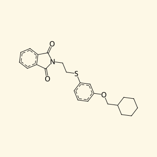 O=C1c2ccccc2C(=O)N1CCSc1cccc(OCC2CCCCC2)c1